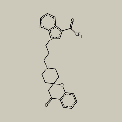 O=C1CC2(CCN(CCCn3cc(C(=O)C(F)(F)F)c4cccnc43)CC2)Oc2ccccc21